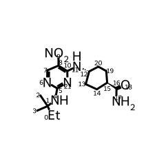 CCC(C)(C)Nc1ncc([N+](=O)[O-])c(N[C@H]2CC[C@H](C(N)=O)CC2)n1